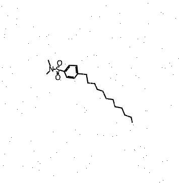 CCCCCCCCCCCCc1ccc(S(=O)(=O)N(C)C)cc1